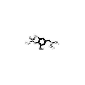 CN(C)Cc1cc(C(C)(C)C)c(OS(C)(=O)=O)c(C(C)(C)C)c1